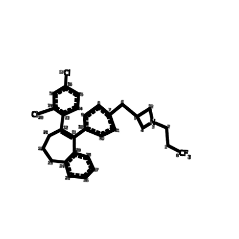 FC(F)(F)CCN1CC(Cc2ccc(C3=C(c4ccc(Cl)cc4Cl)CCCc4ccccc43)cc2)C1